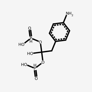 Nc1ccc(CC(O)(O[PH](=O)O)O[PH](=O)O)cc1